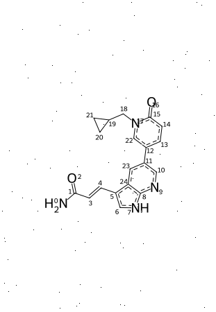 NC(=O)/C=C/c1c[nH]c2ncc(-c3ccc(=O)n(CC4CC4)c3)cc12